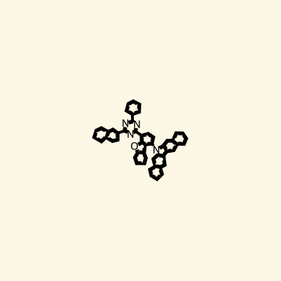 c1ccc(-c2nc(-c3ccc4ccccc4c3)nc(-c3ccc(-n4c5cc6ccccc6cc5c5cc6ccccc6cc54)c4c3oc3ccccc34)n2)cc1